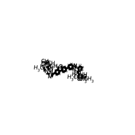 CCCN(Cc1ncc(-c2ccc3c(c2)COc2cc(-c4ccc5nc([C@@H]6CCCN6C(=O)[C@@H](NC(=O)OC)C(C)C)[nH]c5c4)ccc2-3)[nH]1)C(=O)[C@@H](NC(=O)OC)C(C)C